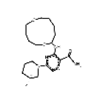 C[C@@H]1CCCN(c2cnc(C(N)=O)c(NC3CCCCCCCCCC3)n2)C1